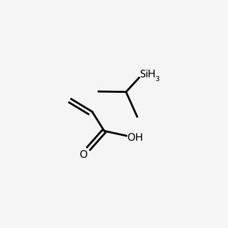 C=CC(=O)O.CC(C)[SiH3]